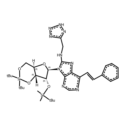 CC(C)(C)[Si](C)(C)O[C@@H]1[C@@H]2O[Si](C(C)(C)C)(C(C)(C)C)OC[C@H]2O[C@H]1n1c(NCc2nn[nH]n2)nc2c(C=Cc3ccccc3)ncnc21